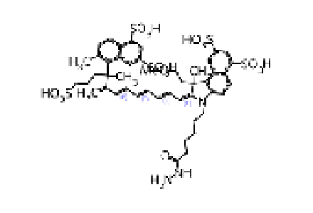 C=C(/C=C/C=C/C=C/C=C1/N(CCCCCC(=O)NN)c2ccc3c(S(=O)(=O)O)cc(S(=O)(=O)O)cc3c2C1(C)CCOC)C(C)(CCCS(=O)(=O)O)c1c(C)ccc2c(S(=O)(=O)O)cc(S(=O)(=O)O)cc12